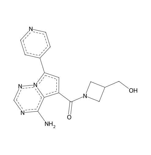 Nc1ncnn2c(-c3ccncc3)cc(C(=O)N3CC(CO)C3)c12